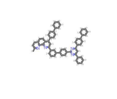 Cc1ccc2ccc3c(-c4ccc(-c5ccccc5)cc4)cc(-c4cccc(-c5ccc(-c6nc(-c7ccccc7)cc(-c7ccc(-c8ccccc8)cc7)n6)cc5)c4)nc3c2n1